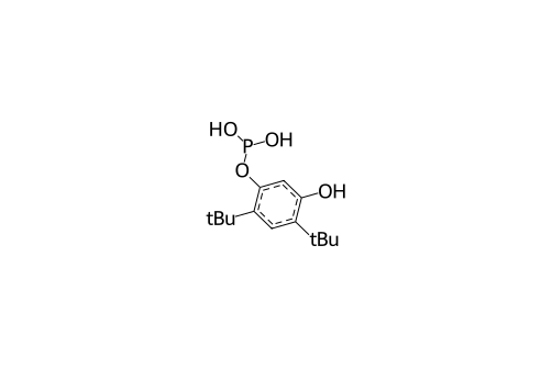 CC(C)(C)c1cc(C(C)(C)C)c(OP(O)O)cc1O